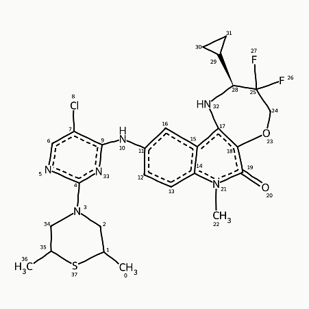 CC1CN(c2ncc(Cl)c(Nc3ccc4c(c3)c3c(c(=O)n4C)OCC(F)(F)[C@H](C4CC4)N3)n2)CC(C)S1